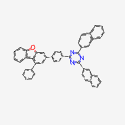 c1ccc(-c2cc(-c3ccc(-c4nc(-c5ccc6ccccc6c5)nc(-c5ccc6ccccc6c5)n4)cc3)cc3oc4ccccc4c23)cc1